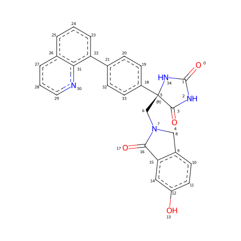 O=C1NC(=O)[C@](CN2Cc3ccc(O)cc3C2=O)(c2ccc(-c3cccc4cccnc34)cc2)N1